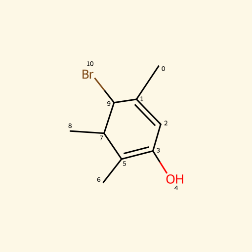 CC1=CC(O)=C(C)C(C)C1Br